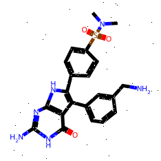 CN(C)S(=O)(=O)c1ccc(-c2[nH]c3nc(N)[nH]c(=O)c3c2-c2cccc(CN)c2)cc1